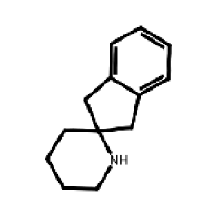 c1ccc2c(c1)CC1(CCCCN1)C2